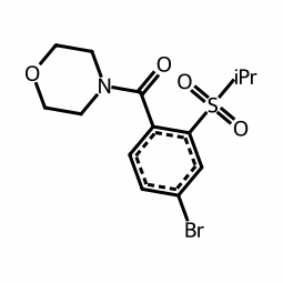 CC(C)S(=O)(=O)c1cc(Br)ccc1C(=O)N1CCOCC1